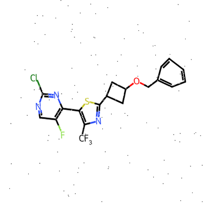 Fc1cnc(Cl)nc1-c1sc(C2CC(OCc3ccccc3)C2)nc1C(F)(F)F